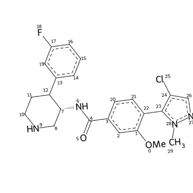 COc1cc(C(=O)N[C@@H]2CNCCC2c2cccc(F)c2)ccc1-c1c(Cl)cnn1C